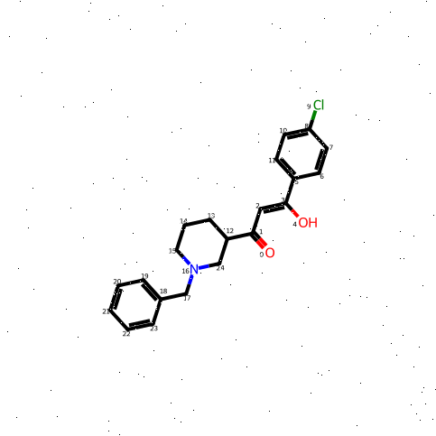 O=C(C=C(O)c1ccc(Cl)cc1)C1CCCN(Cc2ccccc2)C1